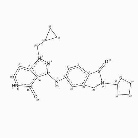 O=C1c2ccc(Nc3nn(CC4CC4)c4cc[nH]c(=O)c34)cc2CN1C1CCCC1